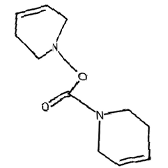 O=C(ON1CC=CCC1)N1CC=CCC1